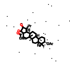 COC(=O)[C@@]12CC[C@]3(C)[C@H](CC[C@@H]4[C@@]5(C)CC[C@H](OC(C)=O)C(C)(C)[C@@H]5CC[C@]43C)C1=C(C(C)C)C(=O)C2=O